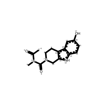 CN(C(=O)I)C(=O)N1CCc2c([nH]c3ccc(O)cc23)C1